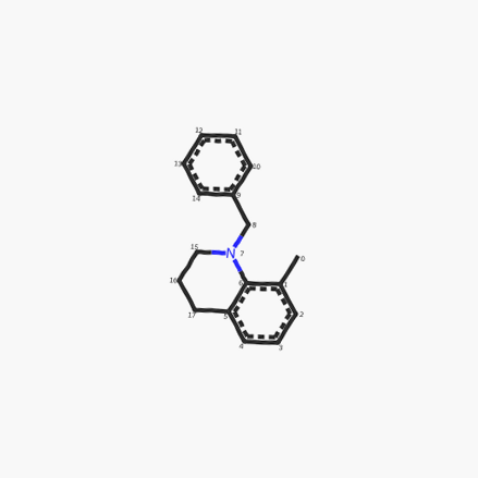 Cc1cccc2c1N(Cc1ccccc1)CCC2